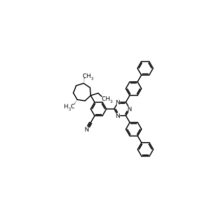 CCC1(c2cc(C#N)cc(-c3nc(-c4ccc(-c5ccccc5)cc4)nc(-c4ccc(-c5ccccc5)cc4)n3)c2)C[C@H](C)CC[C@H](C)C1